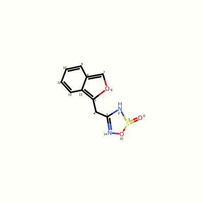 O=S1NC(Cc2occ3ccccc23)=NO1